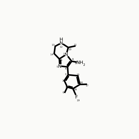 Cc1cc(-c2nc3n(c2N)C(C)NCC3)cc(C)c1F